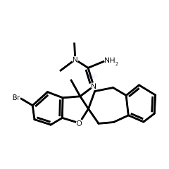 CN(C)/C(N)=N\C1(C)c2cc(Br)ccc2OC12CCc1ccccc1CC2